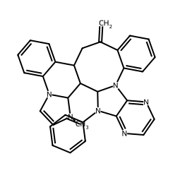 C=C1CC2c3ccccc3N3C=CN(C)C3C2C2N(c3ccccc3)c3nccnc3N2c2ccccc21